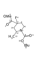 COC(=O)C1(F)CCN(C(=O)OC(C)(C)C)C(C)C1